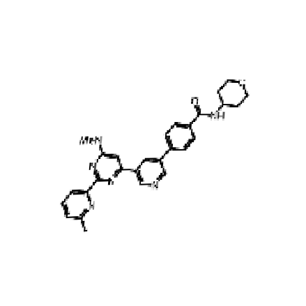 CNc1cc(-c2cncc(-c3ccc(C(=O)NC4CCOCC4)cc3)c2)nc(-c2cccc(C)n2)n1